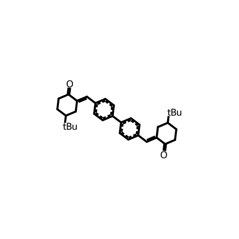 CC(C)(C)C1CCC(=O)/C(=C/c2ccc(-c3ccc(/C=C4\CC(C(C)(C)C)CCC4=O)cc3)cc2)C1